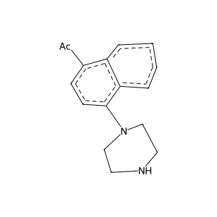 CC(=O)c1ccc(N2CCNCC2)c2ccccc12